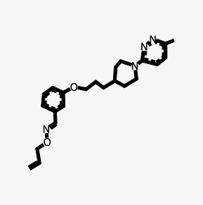 C=CCON=Cc1cccc(OCCCC2CCN(c3ccc(C)nn3)CC2)c1